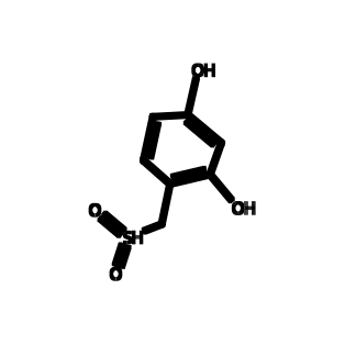 O=[SH](=O)Cc1ccc(O)cc1O